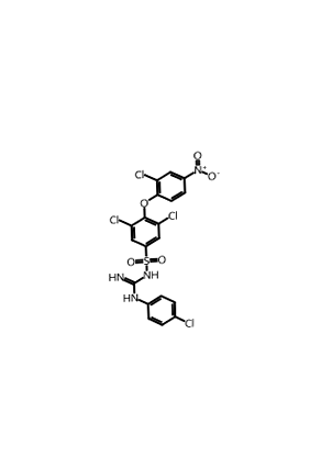 N=C(Nc1ccc(Cl)cc1)NS(=O)(=O)c1cc(Cl)c(Oc2ccc([N+](=O)[O-])cc2Cl)c(Cl)c1